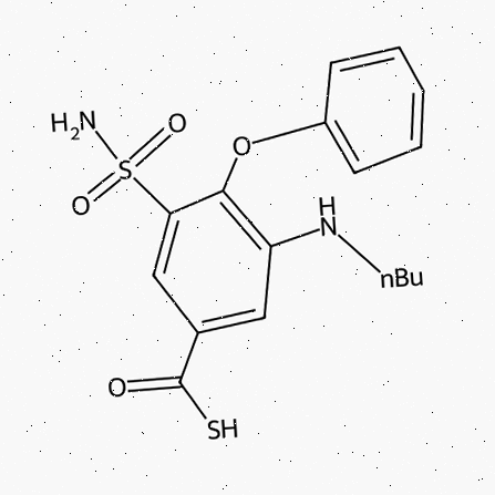 CCCCNc1cc(C(=O)S)cc(S(N)(=O)=O)c1Oc1ccccc1